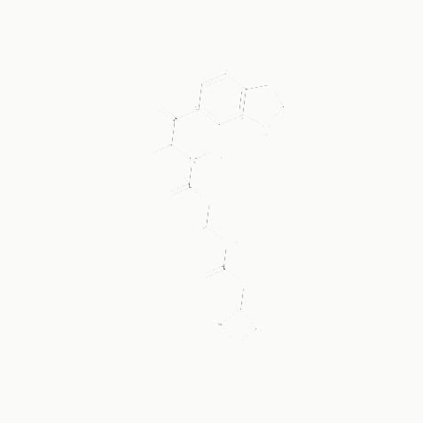 CC(C(=O)c1ccc2c(c1)OCO2)N(C)C(=O)OCOC(=O)OC1CSC1